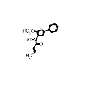 C/C=C/C(=O)N(CC)c1cc(-c2ccccc2)sc1C(=O)O